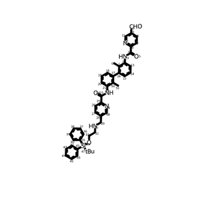 Cc1c(NC(=O)c2ccc(C=O)cn2)cccc1-c1cccc(NC(=O)c2ccc(CNCCO[Si](c3ccccc3)(c3ccccc3)C(C)(C)C)cn2)c1C